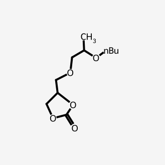 CCCCOC(C)COCC1COC(=O)O1